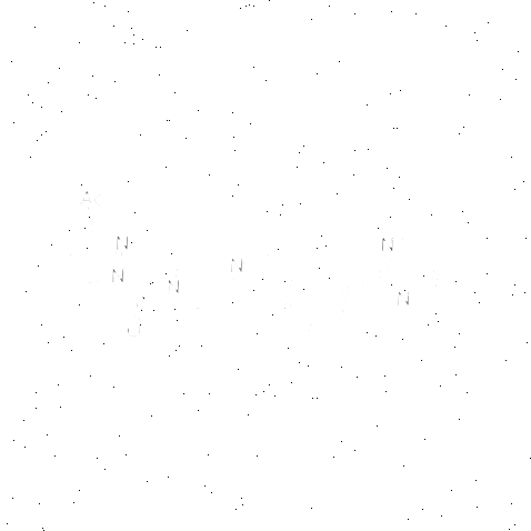 CC(=O)c1ccn(C(=O)N2CCN(Cc3cccc(-c4ncccn4)c3)CC2)n1